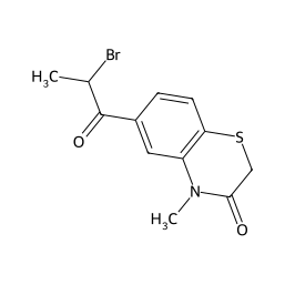 CC(Br)C(=O)c1ccc2c(c1)N(C)C(=O)CS2